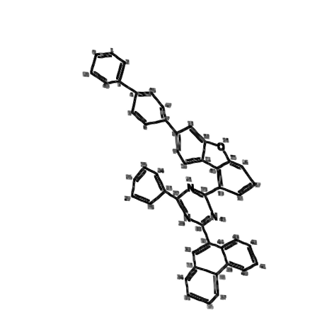 c1ccc(-c2ccc(-c3ccc4c(c3)oc3cccc(-c5nc(-c6ccccc6)nc(-c6cc7ccccc7c7ccccc67)n5)c34)cc2)cc1